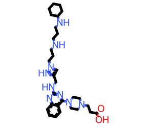 O=C(O)CCN1CCN(c2nc(NCc3cn(CCCNCCCNC4CCCCC4)[nH]3)nc3ccccc23)CC1